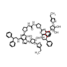 CCc1cnn([C@H]2C[C@@H](n3cnc4c(NCC(c5ccccc5)c5ccccc5)nc(N5CCC(NC(=O)N[C@@H]6CCN(c7nc(NCC(c8ccccc8)c8ccccc8)c8ncn([C@@H]9C[C@H](n%10cc(CC)cn%10)[C@@H](O)[C@H]9O)c8n7)C6)C5)nc43)[C@H](O)[C@@H]2O)c1